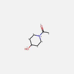 CC(=O)N1CC[C](O)CC1